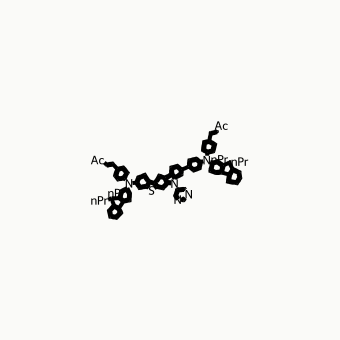 CCCC1(CCC)c2ccccc2-c2ccc(N(c3ccc(/C=C/C(C)=O)cc3)c3ccc(-c4ccc5c6cc7c(cc6n(-c6cncnc6)c5c4)sc4cc(N(c5ccc(/C=C/C(C)=O)cc5)c5ccc6c(c5)C(CCC)(CCC)c5ccccc5-6)ccc47)cc3)cc21